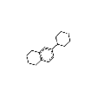 c1cc2c(cc1C1CCOCC1)CCCC2